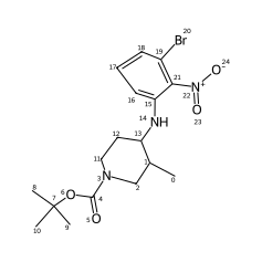 CC1CN(C(=O)OC(C)(C)C)CCC1Nc1cccc(Br)c1[N+](=O)[O-]